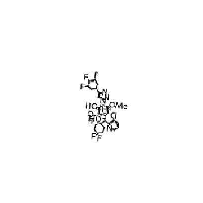 CO[C@H]1C[SH](C(c2ncccc2Cl)C2(O)CCC(F)(F)CC2)[C@H](CO)[C@H](O)[C@@H]1n1cc(-c2cc(F)c(F)c(F)c2)nn1